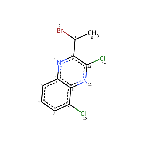 CC(Br)c1nc2cccc(Cl)c2nc1Cl